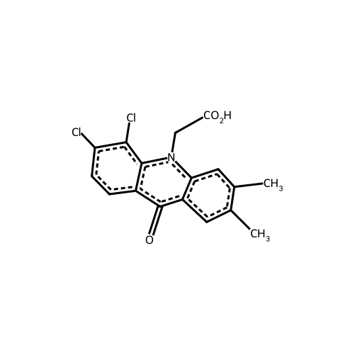 Cc1cc2c(=O)c3ccc(Cl)c(Cl)c3n(CC(=O)O)c2cc1C